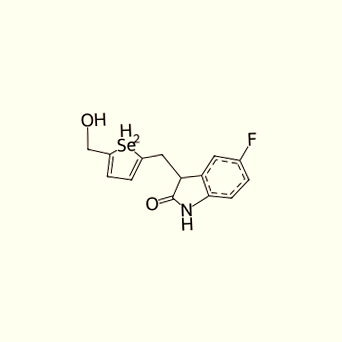 O=C1Nc2ccc(F)cc2C1CC1=CC=C(CO)[SeH2]1